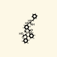 N=C(NCc1ccccc1)Nc1cccc(C(=O)Nc2ccccc2[C@@H](C(=S=O)C(=O)O)c2ccccc2)c1